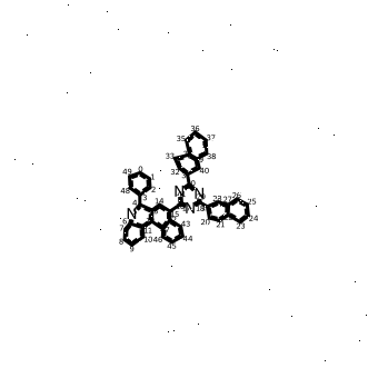 c1ccc(-c2nc3ccccc3c3c2cc(-c2nc(-c4ccc5ccccc5c4)nc(-c4ccc5ccccc5c4)n2)c2ccccc23)cc1